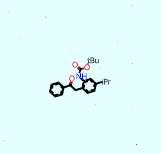 CC(C)c1ccc(CC(=O)c2ccccc2)c(NC(=O)OC(C)(C)C)c1